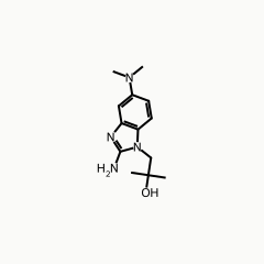 CN(C)c1ccc2c(c1)nc(N)n2CC(C)(C)O